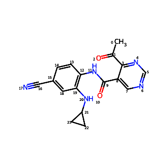 CC(=O)c1ncncc1C(=O)Nc1ccc(C#N)cc1NC1CC1